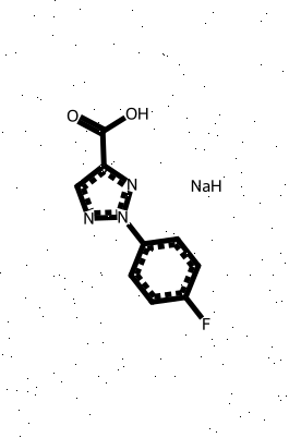 O=C(O)c1cnn(-c2ccc(F)cc2)n1.[NaH]